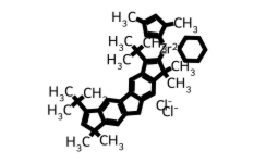 CC1=CC(C)[C]([Zr+2]([C]2=C(C(C)(C)C)c3cc4c(cc3C2(C)C)Cc2cc3c(cc2-4)C(C(C)(C)C)=CC3(C)C)=[C]2CCCCC2)=C1.[Cl-].[Cl-]